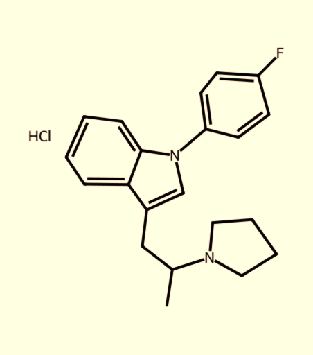 CC(Cc1cn(-c2ccc(F)cc2)c2ccccc12)N1CCCC1.Cl